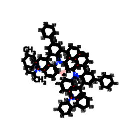 CC1CC2CC(C)N(c3ccc4c(c3)N(c3c(-c5ccccc5)cc(-c5ccccc5)cc3-c3ccccc3)c3cc(C(C)(C)C)cc5c3B4c3ccc(-n4c6ccccc6c6ccccc64)cc3N5c3c(-c4ccccc4)cc(-c4ccccc4)cc3-c3ccccc3)C(C1)C2